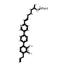 C=CCc1ccc(-c2ccc(-c3ccc(C=CCCCC(C)OCCCCC)nc3)cc2)c(F)c1F